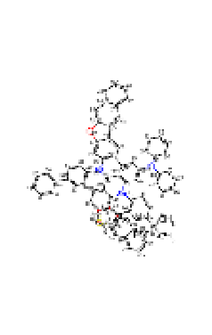 CC(C)(C)c1ccc(N2c3cc(N(c4ccccc4)c4ccccc4)cc4c3B(c3ccc5sc6cc7ccccc7cc6c5c32)N(c2ccc(-c3ccccc3)cc2)c2cc3oc5cc6ccccc6cc5c3cc2-4)c(-c2ccccc2)c1